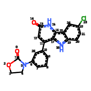 O=C1OCCN1c1cccc(-c2cc(=O)[nH]c3c2[nH]c2ccc(Cl)cc23)c1